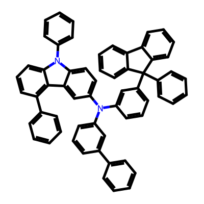 c1ccc(-c2cccc(N(c3cccc(C4(c5ccccc5)c5ccccc5-c5ccccc54)c3)c3ccc4c(c3)c3c(-c5ccccc5)cccc3n4-c3ccccc3)c2)cc1